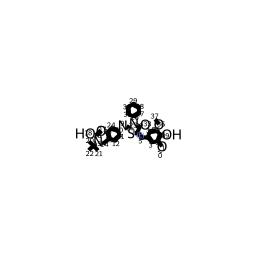 COc1cc(/C=C2/SC(=Nc3ccc(CN(C(=O)O)C(C)(C)C)cc3)N(c3ccccc3)C2=O)cc(OC)c1O